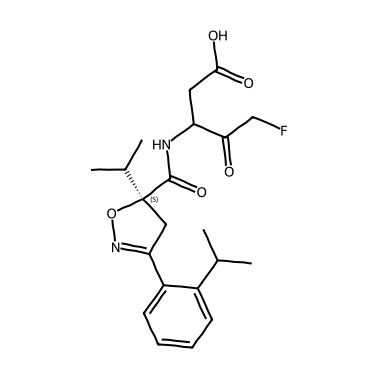 CC(C)c1ccccc1C1=NO[C@](C(=O)NC(CC(=O)O)C(=O)CF)(C(C)C)C1